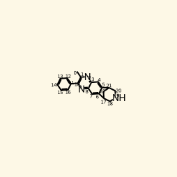 Cc1nc2cc3c(cc2nc1-c1ccccc1)C1CNCC3C1